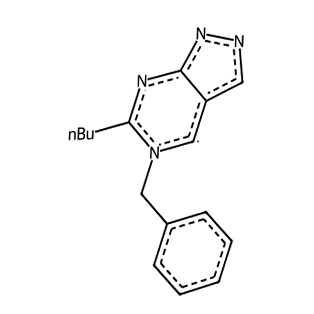 CCCCc1nc2nncc-2[c]n1Cc1ccccc1